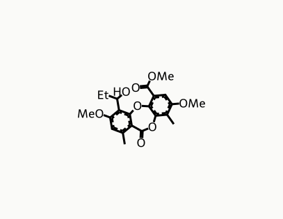 CCC(O)c1c(OC)cc(C)c2c1Oc1c(C(=O)OC)cc(OC)c(C)c1OC2=O